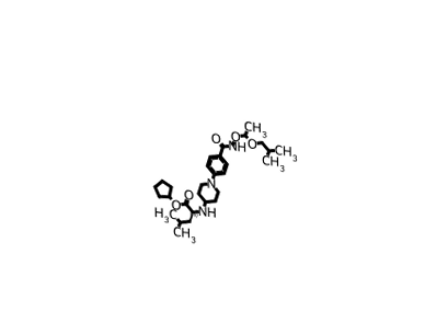 CC(C)COC(C)ONC(=O)c1ccc(N2CCC(N[C@@H](CC(C)C)C(=O)OC3CCCC3)CC2)cc1